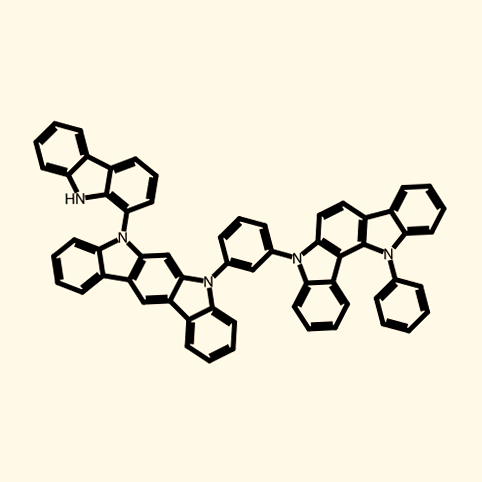 c1ccc(-n2c3ccccc3c3ccc4c(c5ccccc5n4-c4cccc(-n5c6ccccc6c6cc7c8ccccc8n(-c8cccc9c8[nH]c8ccccc89)c7cc65)c4)c32)cc1